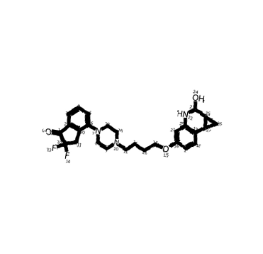 O=C1c2cccc(N3CCN(CCCCOc4ccc5c(c4)NC(O)C4CC54)CC3)c2CC1(F)F